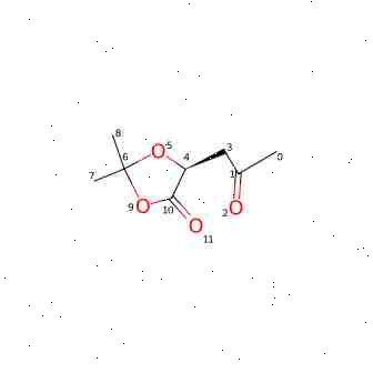 CC(=O)C[C@@H]1OC(C)(C)OC1=O